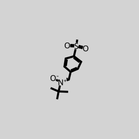 CC(C)(C)[N+]([O-])=Cc1ccc(S(C)(=O)=O)cc1